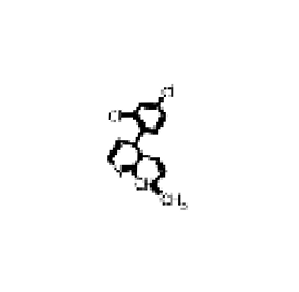 C=C/C=C\[C@H]1C(C)=NC=CC1c1ccc(Cl)cc1Cl